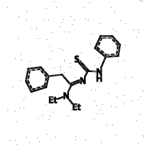 CCN(CC)/C(Cc1ccccc1)=N/C(=S)Nc1ccccc1